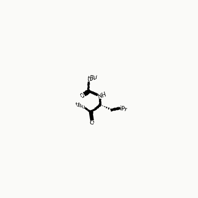 CC(C)C[C@@H](NC(=O)C(C)(C)C)C(=O)C(C)(C)C